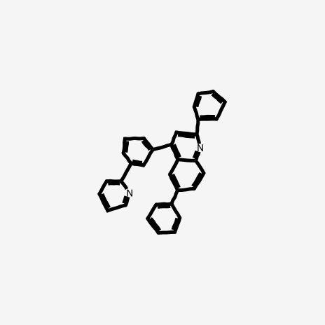 c1ccc(-c2ccc3nc(-c4ccccc4)cc(-c4cccc(-c5ccccn5)c4)c3c2)cc1